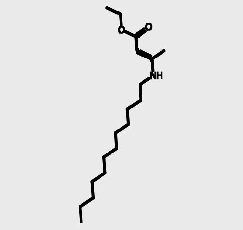 CCCCCCCCCCCCNC(C)=CC(=O)OCC